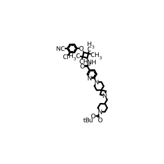 CC(C)(C)OC(=O)N1CCC(CN2CC3(CCN(c4ccc(C(=O)N[C@H]5C(C)(C)[C@H](Oc6ccc(C#N)c(Cl)c6)C5(C)C)cn4)CC3)C2)CC1